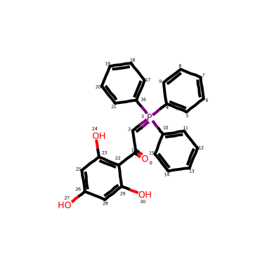 O=C(C=P(c1ccccc1)(c1ccccc1)c1ccccc1)c1c(O)cc(O)cc1O